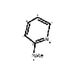 CNc1[c]cccn1